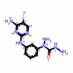 NNC(=O)N(N)c1cccc(Nc2ncc(F)c(N)n2)c1